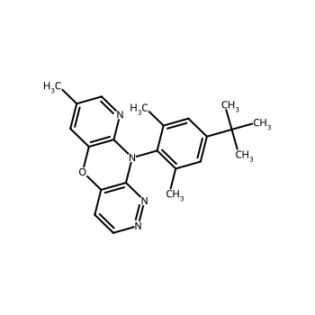 Cc1cnc2c(c1)Oc1ccnnc1N2c1c(C)cc(C(C)(C)C)cc1C